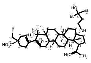 C=C(C)C1CC[C@]2(NCCC(O)(CC)CC)CC[C@]3(C)[C@H](CC[C@@H]4[C@@]5(C)CC=C(C6=CC[C@](CF)(C(=O)O)CC6)C(C)(C)[C@@H]5CC[C@]43C)[C@@H]12